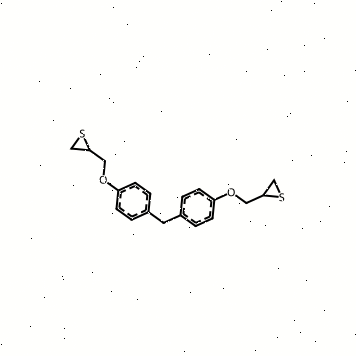 c1cc(OCC2CS2)ccc1Cc1ccc(OCC2CS2)cc1